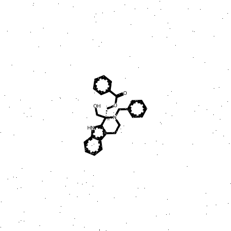 O=C(OC[C@@]1(CO)c2[nH]c3ccccc3c2CCN1Cc1ccccc1)c1ccccc1